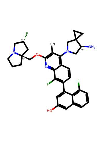 N#Cc1c(OC[C@@]23CCCN2C[C@H](F)C3)nc2c(F)c(-c3cc(O)cc4cccc(F)c34)ccc2c1N1C[C@H](N)C2(CC2)C1